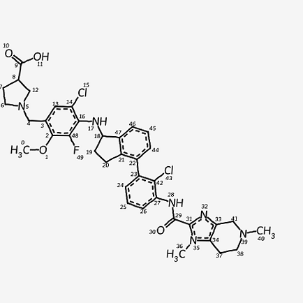 COc1c(CN2CCC(C(=O)O)C2)cc(Cl)c(NC2CCc3c(-c4cccc(NC(=O)c5nc6c(n5C)CCN(C)C6)c4Cl)cccc32)c1F